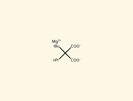 CCCC(C(=O)[O-])(C(=O)[O-])C(C)(C)C.[Mg+2]